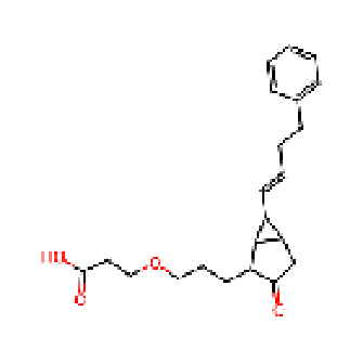 O=C(O)CCOCCCC1C(=O)CC2C(C=CCCc3ccccc3)C12